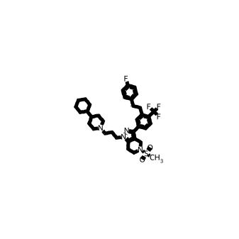 CS(=O)(=O)N1CCc2c(c(-c3ccc(C(F)(F)F)c(C[CH]c4ccc(F)cc4)c3)nn2CCCN2CCC(C3CCCCC3)CC2)C1